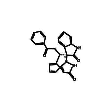 O=C(CC(c1cccs1)[C@@]1(n2ccc(=O)[nH]2)C(=O)Nc2ccccc21)c1ccccc1